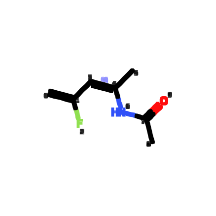 C=C(F)/C=C(/C)NC(C)=O